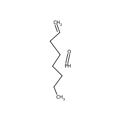 C=CCCCCCC.O=P